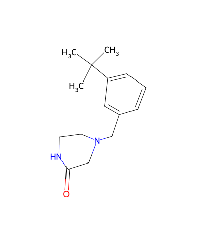 CC(C)(C)c1cccc(CN2CCNC(=O)C2)c1